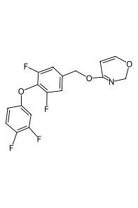 Fc1ccc(Oc2c(F)cc(COC3=NCOC=C3)cc2F)cc1F